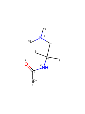 CC(C)C(=O)NC(C)(C)CN(C)C